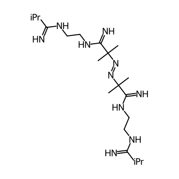 CC(C)C(=N)NCCNC(=N)C(C)(C)N=NC(C)(C)C(=N)NCCNC(=N)C(C)C